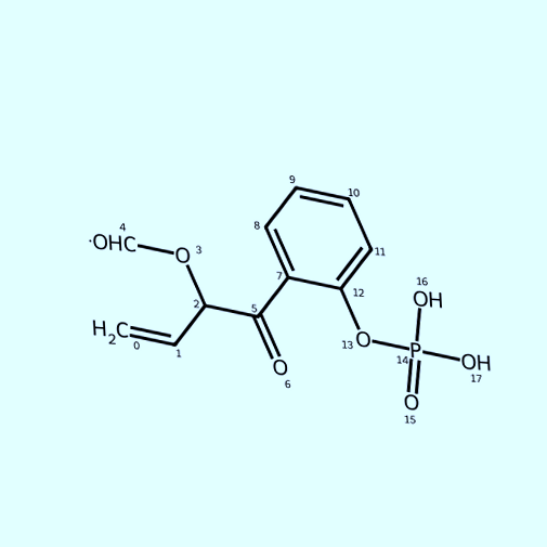 C=CC(O[C]=O)C(=O)c1ccccc1OP(=O)(O)O